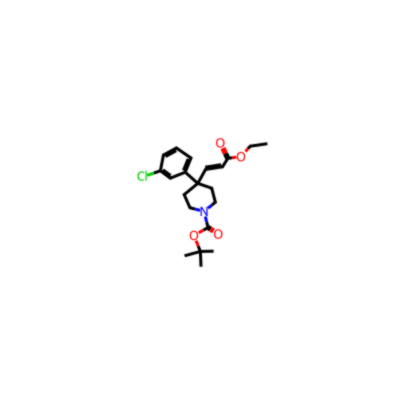 CCOC(=O)C=CC1(c2cccc(Cl)c2)CCN(C(=O)OC(C)(C)C)CC1